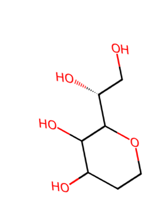 OC[C@@H](O)C1OCCC(O)C1O